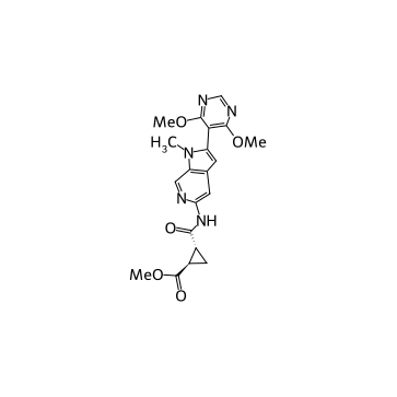 COC(=O)[C@@H]1C[C@H]1C(=O)Nc1cc2cc(-c3c(OC)ncnc3OC)n(C)c2cn1